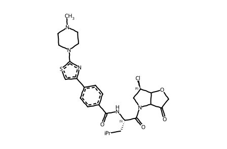 CC(C)C[C@H](NC(=O)c1ccc(-c2csc(N3CCN(C)CC3)n2)cc1)C(=O)N1C[C@@H](Cl)C2OCC(=O)C21